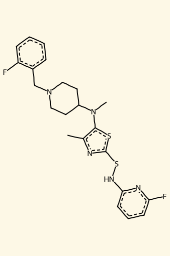 Cc1nc(SNc2cccc(F)n2)sc1N(C)C1CCN(Cc2ccccc2F)CC1